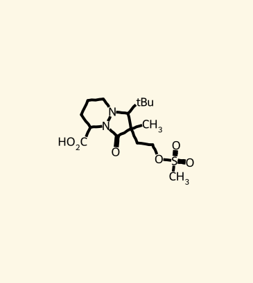 CC(C)(C)C1N2CCCC(C(=O)O)N2C(=O)C1(C)CCOS(C)(=O)=O